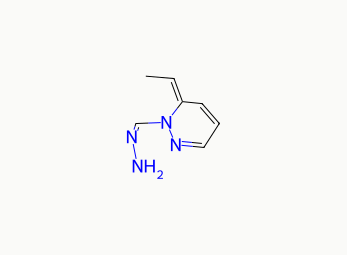 C/C=C1/C=CC=NN1/C=N\N